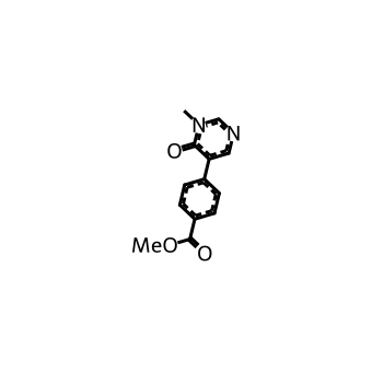 COC(=O)c1ccc(-c2cncn(C)c2=O)cc1